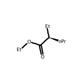 CCC[C@H](CC)C(=O)OCC